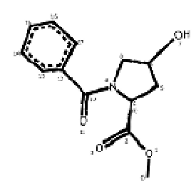 COC(=O)[C@@H]1CC(O)CN1C(=O)c1ccccc1